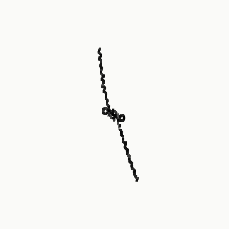 CCC=CCC=CCC=CCC=CCC=CCCCC(=O)N1CCN(C(=O)CCCC=CCC=CCC=CCC=CCC=CCC)CC1